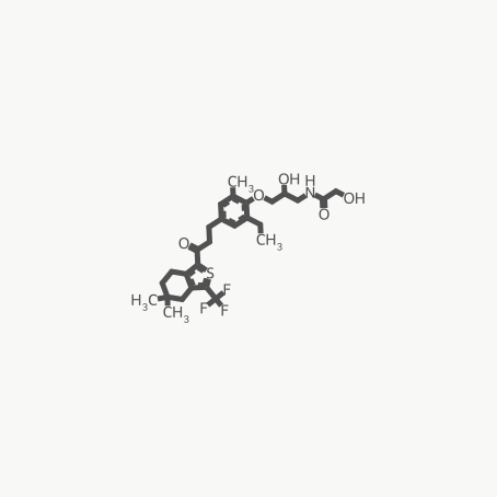 CCc1cc(CCC(=O)c2sc(C(F)(F)F)c3c2CCC(C)(C)C3)cc(C)c1OCC(O)CNC(=O)CO